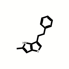 Cc1cc2scc(CCc3ccccc3)c2[nH]1